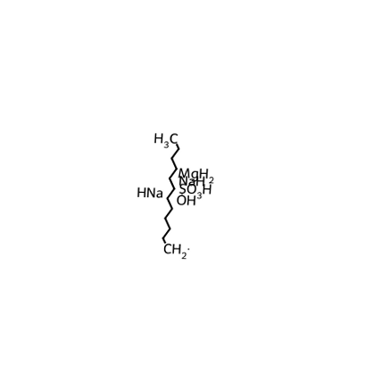 O=S(=O)(O)O.[CH2]CCCCCCCCCCC.[MgH2].[NaH].[NaH]